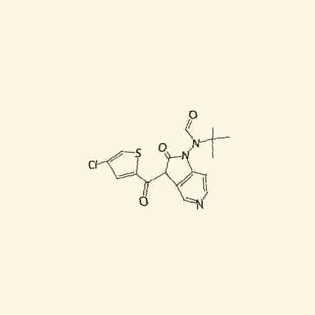 CC(C)(C)N(C=O)N1C(=O)C(C(=O)c2cc(Cl)cs2)c2cnccc21